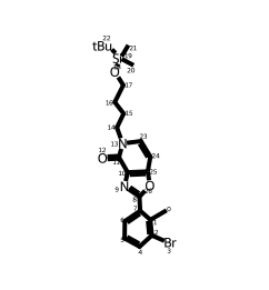 Cc1c(Br)cccc1-c1nc2c(=O)n(CCCCO[Si](C)(C)C(C)(C)C)ccc2o1